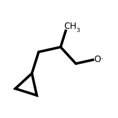 CC(C[O])CC1CC1